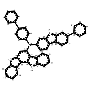 c1ccc(-c2ccc(N(c3ccc4c(c3)oc3cc(-c5ccccc5)ccc34)c3cc4sc5ccccc5c4c4oc5ccccc5c34)cc2)cc1